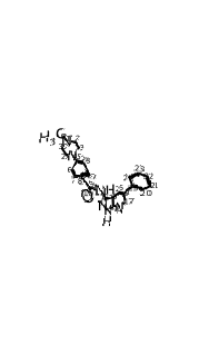 CN1CCN(c2ccc(C(=O)Nc3n[nH]c4ncc(-c5ccccc5)cc34)cc2)CC1